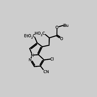 CCOC(=O)c1cn2ncc(C#N)c(Cl)c2c1CC(C(=O)O)C(=O)OC(C)CC